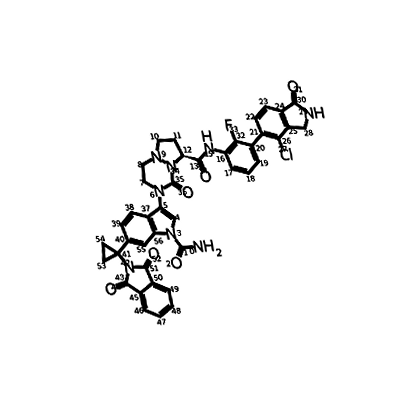 NC(=O)n1cc(N2CCN3CC[C@@H](C(=O)Nc4cccc(-c5ccc6c(c5Cl)CNC6=O)c4F)N3C2=O)c2ccc(C3(N4C(=O)c5ccccc5C4=O)CC3)cc21